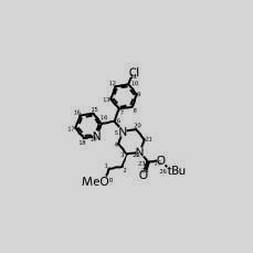 COCC[C@H]1CN(C(c2ccc(Cl)cc2)c2ccccn2)CCN1C(=O)OC(C)(C)C